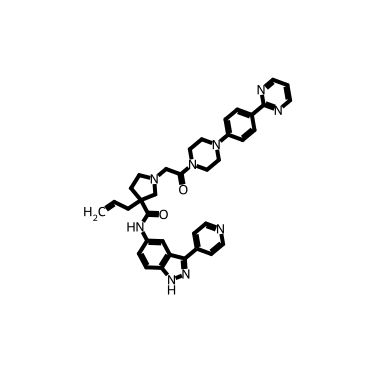 C=CCC1(C(=O)Nc2ccc3[nH]nc(-c4ccncc4)c3c2)CCN(CC(=O)N2CCN(c3ccc(-c4ncccn4)cc3)CC2)C1